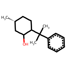 C[C@@H]1CCC(C(C)(C)c2ccccc2)C(O)C1